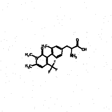 Cc1cc(CC(N)C(=O)O)ccc1-c1c(C(F)(F)F)cc(C)n(C)c1=O